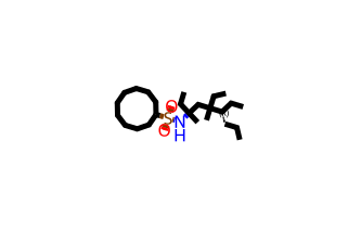 CCC[C@@H](CC)C(C)(CC)CC(C)(CC)NS(=O)(=O)C1CCCCCCCCC1